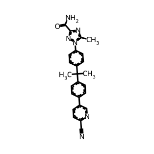 Cc1nc(C(N)=O)nn1-c1ccc(C(C)(C)c2ccc(-c3ccc(C#N)nc3)cc2)cc1